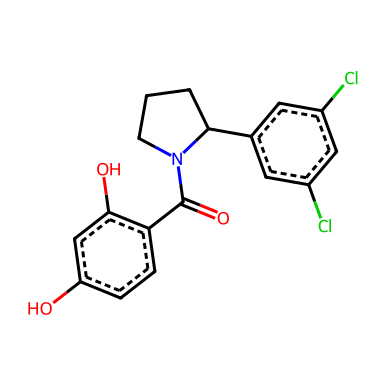 O=C(c1ccc(O)cc1O)N1CCCC1c1cc(Cl)cc(Cl)c1